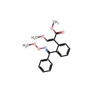 COC=C(C(=O)OC)c1ccccc1C(=NOOC)c1ccccc1